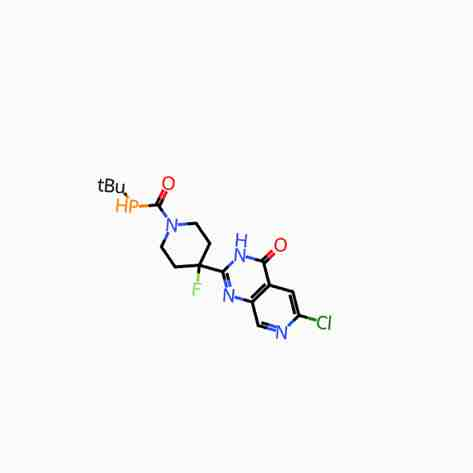 CC(C)(C)PC(=O)N1CCC(F)(c2nc3cnc(Cl)cc3c(=O)[nH]2)CC1